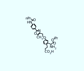 CCCC(=O)Nc1ccc(-c2nc(CCOc3ccc(CCC(=O)O)c(C(N)C(=O)OC(C)C)c3)c(C)o2)cc1